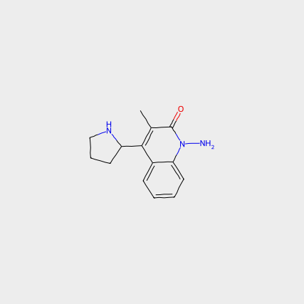 Cc1c(C2CCCN2)c2ccccc2n(N)c1=O